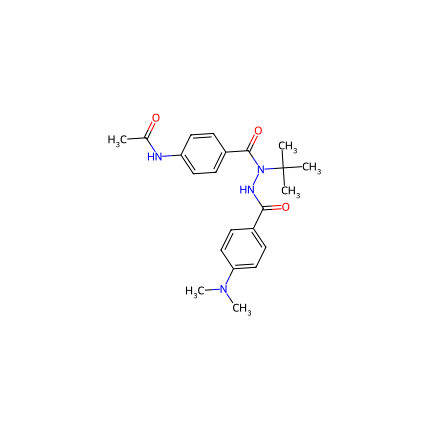 CC(=O)Nc1ccc(C(=O)N(NC(=O)c2ccc(N(C)C)cc2)C(C)(C)C)cc1